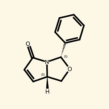 O=C1C=C[C@H]2CO[C@@H](c3ccccc3)N12